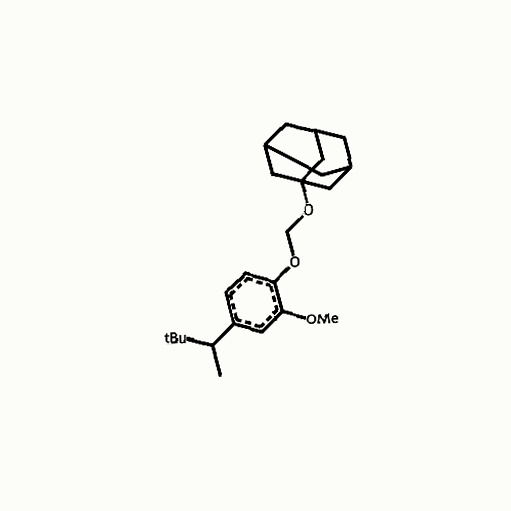 COc1cc(C(C)C(C)(C)C)ccc1OCOC12CC3CC(CC(C3)C1)C2